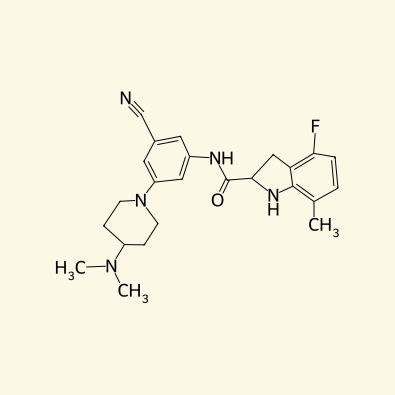 Cc1ccc(F)c2c1NC(C(=O)Nc1cc(C#N)cc(N3CCC(N(C)C)CC3)c1)C2